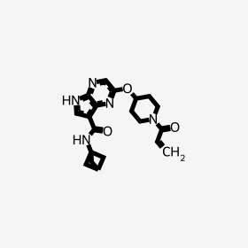 C=CC(=O)N1CCC(Oc2cnc3[nH]cc(C(=O)NC45CC(C4)C5)c3n2)CC1